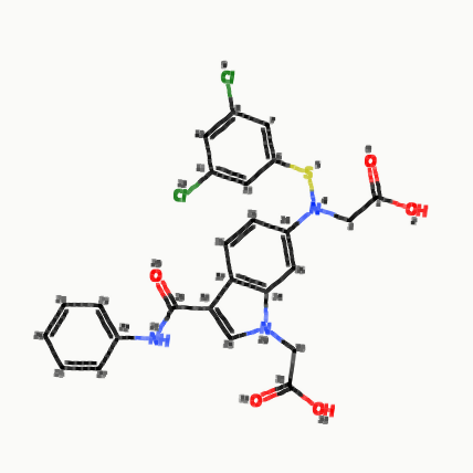 O=C(O)CN(Sc1cc(Cl)cc(Cl)c1)c1ccc2c(C(=O)Nc3ccccc3)cn(CC(=O)O)c2c1